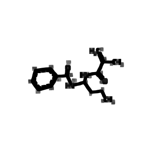 C=C(C)C(=O)NC(CCC)NC(=O)c1ccccc1